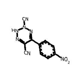 N#CC1=NNN(C#N)N=C1c1ccc([N+](=O)[O-])cc1